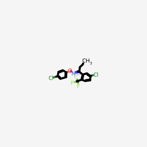 CCC/C(=N\Oc1ccc(Cl)cc1)c1cc(Cl)ccc1C(F)(F)F